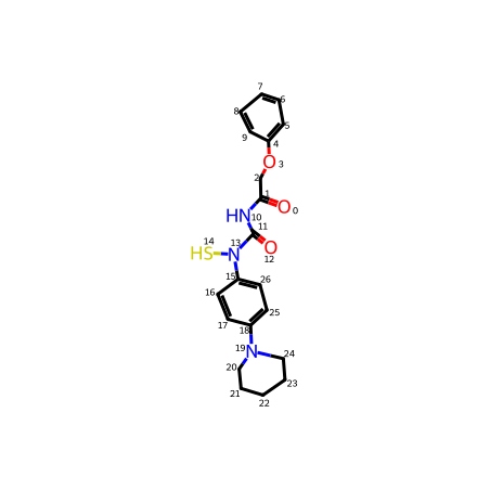 O=C(COc1ccccc1)NC(=O)N(S)c1ccc(N2CCCCC2)cc1